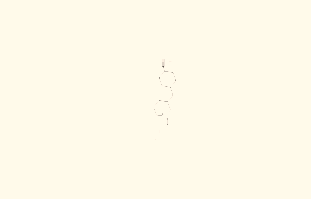 CC(C)C1CCC(CC2CCCN(CC(=O)O)C2)CC1